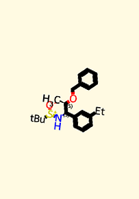 CCc1cccc([C@H](N[S+]([O-])C(C)(C)C)[C@H](C)OCc2ccccc2)c1